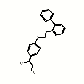 CCC(C)c1ccc(OCOc2ccccc2-c2ccccc2)cc1